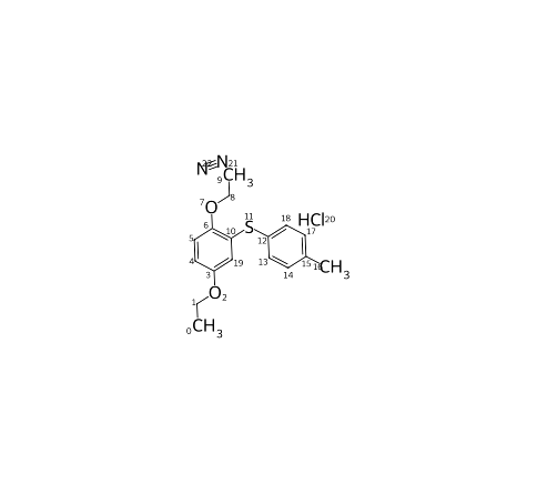 CCOc1ccc(OCC)c(Sc2ccc(C)cc2)c1.Cl.N#N